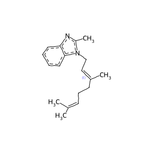 CC(C)=CCC/C(C)=C/Cn1c(C)nc2ccccc21